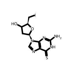 Nc1nc2c(ncn2[C@H]2CC(O)[C@@H](CI)O2)c(=S)[nH]1